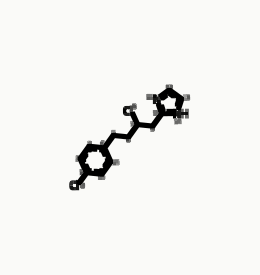 Clc1ccc(CCC(Cl)Cc2ncc[nH]2)cc1